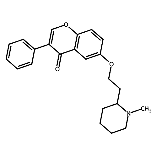 CN1CCCCC1CCOc1ccc2occ(-c3ccccc3)c(=O)c2c1